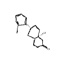 O=C1CCN2C[C@H](c3ccccc3F)CC[C@H]2C1